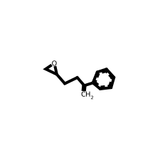 C=C(CCC1CO1)c1ccccc1